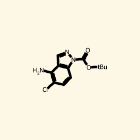 CC(C)(C)OC(=O)n1ncc2c(N)c(Cl)ccc21